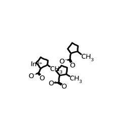 CC1CCCC1C(=O)[O-].CC1CCCC1C(=O)[O-].CC1CCCC1C(=O)[O-].[In+3]